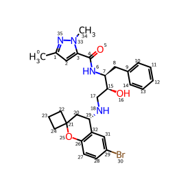 Cc1cc(C(=O)N[C@@H](Cc2ccccc2)[C@@H](O)CN[C@H]2CC3(CCC3)Oc3ccc(Br)cc32)n(C)n1